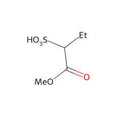 CCC(C(=O)OC)S(=O)(=O)O